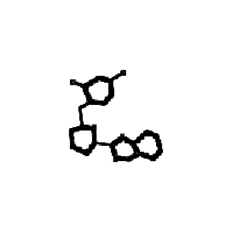 Clc1ccc(Cc2cccc(-c3ncc4ccccc4n3)n2)c(Cl)c1